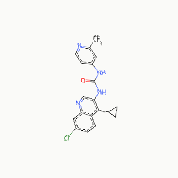 O=C(Nc1ccnc(C(F)(F)F)c1)Nc1cnc2cc(Cl)ccc2c1C1CC1